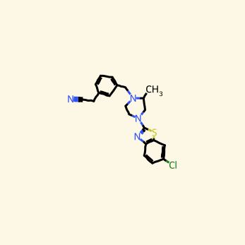 CC1CN(c2nc3ccc(Cl)cc3s2)CCN1Cc1cccc(CC#N)c1